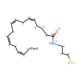 CCCCC/C=C\C/C=C\C/C=C\C/C=C\CCCC(=O)NCCCS